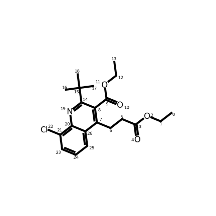 CCOC(=O)CCc1c(C(=O)OCC)c(C(C)(C)C)nc2c(Cl)cccc12